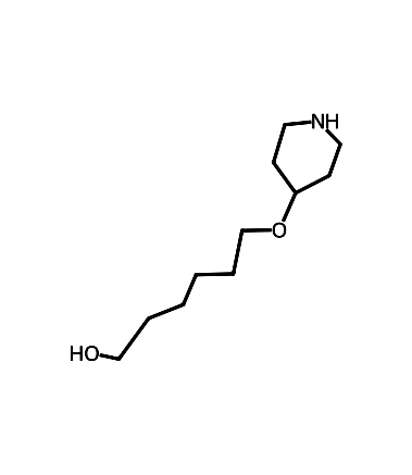 OCCCCCCOC1CCNCC1